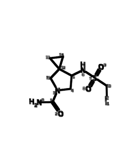 NC(=O)N1CC(NS(=O)(=O)CF)C2(CC2)C1